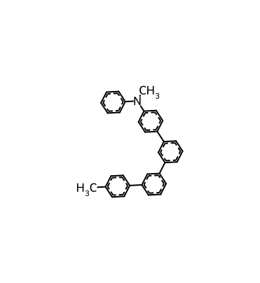 Cc1ccc(-c2cccc(-c3cccc(-c4ccc(N(C)c5ccccc5)cc4)c3)c2)cc1